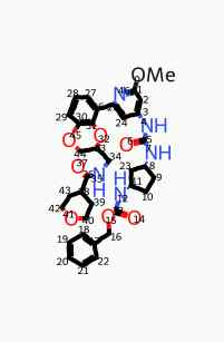 COc1cc(NC(=O)N[C@@H]2CC[C@H](NC(=O)OCc3ccccc3)C2)cc(-c2cccc3c2OC(CNC(=O)C2CCOCC2)CO3)n1